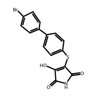 O=C1NC(=O)C(Sc2ccc(-c3ccc(Br)cc3)cc2)=C1O